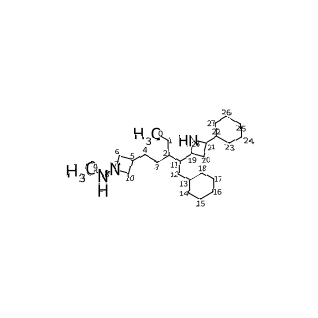 CCC(CCC1CN(NC)C1)C(CC1CCCCC1)C1CC(C2CCCCC2)N1